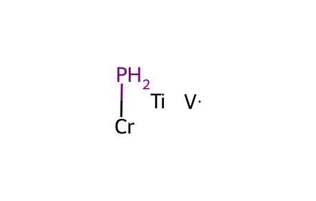 [PH2][Cr].[Ti].[V]